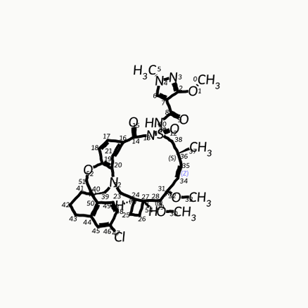 COc1nn(C)cc1C(=O)N[S@@]1(=O)=NC(=O)c2ccc3c(c2)N(C[C@@H]2CC[C@H]2[C@@H](OC)[C@H](OC)/C=C\[C@H](C)C1)C[C@@]1(CCCc2cc(Cl)ccc21)CO3